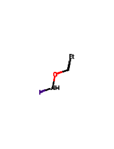 CCC[O][AlH][I]